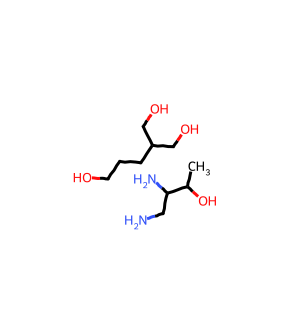 CC(O)C(N)CN.OCCCC(CO)CO